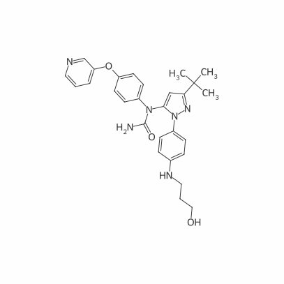 CC(C)(C)c1cc(N(C(N)=O)c2ccc(Oc3cccnc3)cc2)n(-c2ccc(NCCCO)cc2)n1